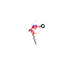 CCCCCCCCCCCCCCCCCC(=O)OCC(CC(=O)O)OC(=O)[C@@H](NC(=O)OCc1ccccc1)C(C)C